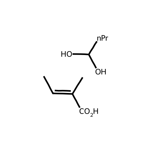 CC=C(C)C(=O)O.CCCC(O)O